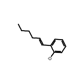 CCCCC=Cc1ccccc1[O]